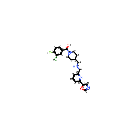 O=C(c1ccc(F)c(Cl)c1)N1CCC(CNCc2cccc(-c3cnco3)n2)CC1